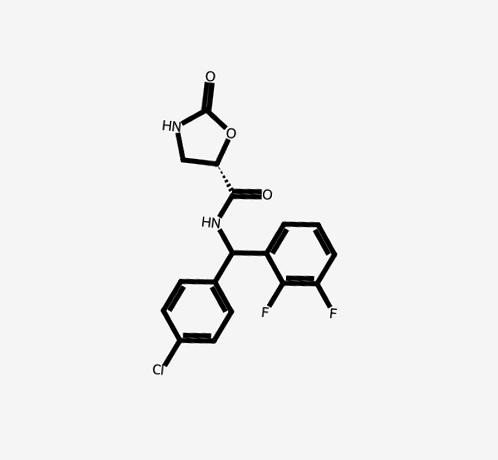 O=C1NC[C@@H](C(=O)NC(c2ccc(Cl)cc2)c2cccc(F)c2F)O1